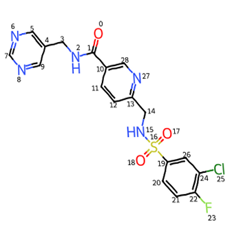 O=C(NCc1cncnc1)c1ccc(CNS(=O)(=O)c2ccc(F)c(Cl)c2)nc1